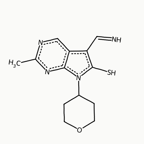 Cc1ncc2c(C=N)c(S)n(C3CCOCC3)c2n1